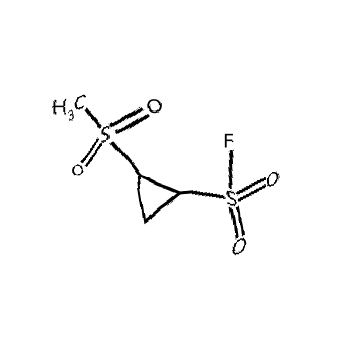 CS(=O)(=O)C1CC1S(=O)(=O)F